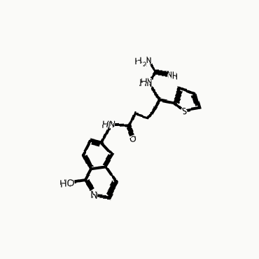 N=C(N)NC(CCC(=O)Nc1ccc2c(O)nccc2c1)c1cccs1